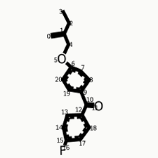 C=C(CC)COc1ccc(C(=O)c2ccc(F)cc2)cc1